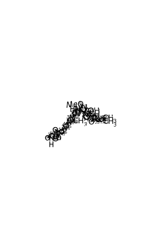 COc1ncc(N2CCC[C@H](N3CCn4c(cc5c4CC(C)(C)C5)C3=O)[C@@H]2C(C)(C)O)cc1Nc1ccc(N2CCN(C3CCN(c4ccc5c(c4)C(=O)N(C4CCC(=O)NC4=O)C5=O)CC3)C[C@@H]2C)cn1